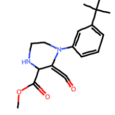 COC(=O)C1NCCN(c2cccc(C(C)(C)C)c2)C1=C=O